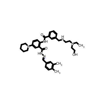 CCN(CCO)CCNCc1cccc(C(=O)Nc2ccc(N3CCCCC3)cc2C(=O)N/N=C/c2ccc(C)c(C)c2)c1